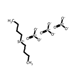 CCC[CH2][Sn+3][CH2]CCC.O=[N+]([O-])[O-].O=[N+]([O-])[O-].O=[N+]([O-])[O-]